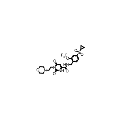 O=C(NCc1ccc(S(=O)(=O)C2CC2)cc1OC(F)(F)F)c1cc(=O)n(CCN2CCOCC2)c(=O)[nH]1